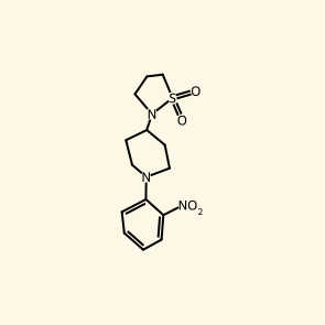 O=[N+]([O-])c1ccccc1N1CCC(N2CCCS2(=O)=O)CC1